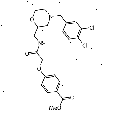 COC(=O)c1ccc(OCC(=O)NCC2CN(Cc3ccc(Cl)c(Cl)c3)CCO2)cc1